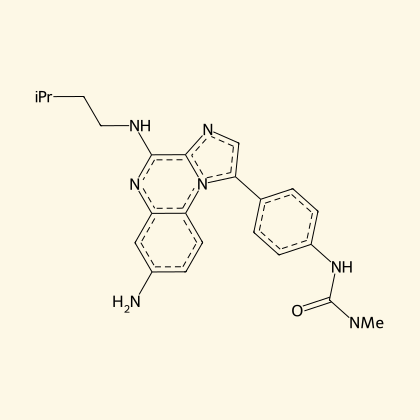 CNC(=O)Nc1ccc(-c2cnc3c(NCCC(C)C)nc4cc(N)ccc4n23)cc1